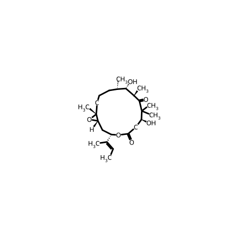 C/C=C(\C)[C@@H]1C[C@@H]2O[C@]2(C)CCC[C@H](C)[C@H](O)[C@@H](C)C(=O)C(C)(C)[C@@H](O)CC(=O)O1